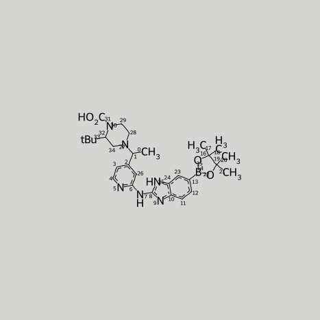 CC(c1ccnc(Nc2nc3ccc(B4OC(C)(C)C(C)(C)O4)cc3[nH]2)c1)N1CCN(C(=O)O)C(C(C)(C)C)C1